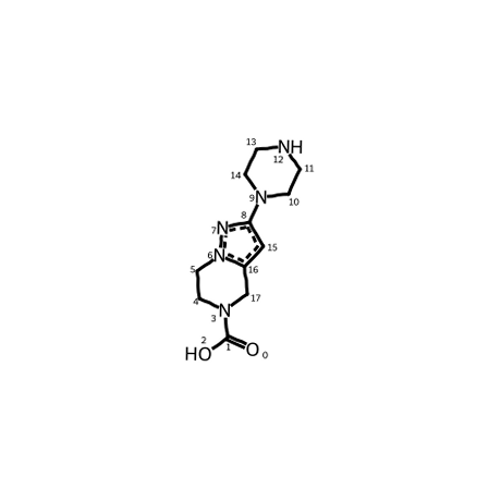 O=C(O)N1CCn2nc(N3CCNCC3)cc2C1